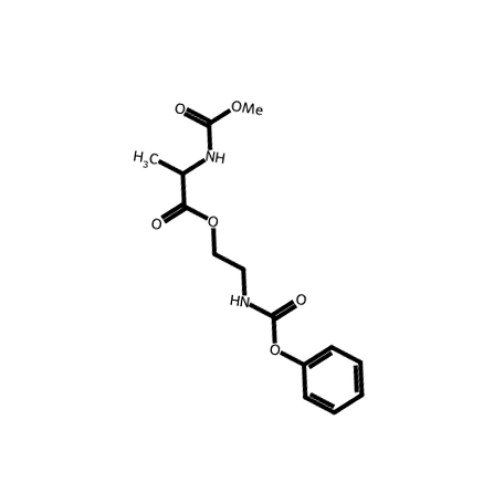 COC(=O)NC(C)C(=O)OCCNC(=O)Oc1ccccc1